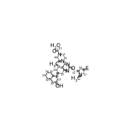 C=CC(=O)N1CCN(c2nc(OC[C@@H]3C[C@H](F)CN3C)nc3c2CC[C@H](c2cc(O)cc4ccccc24)C3)[C@@H](C)C1